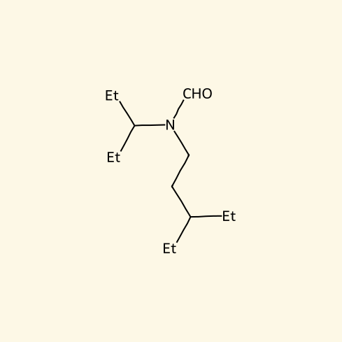 CCC(CC)CCN(C=O)C(CC)CC